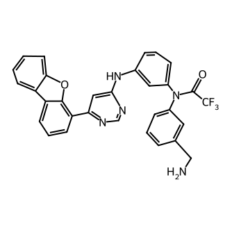 NCc1cccc(N(C(=O)C(F)(F)F)c2cccc(Nc3cc(-c4cccc5c4oc4ccccc45)ncn3)c2)c1